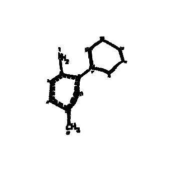 Cc1ccc(N)c(N2CCCCC2)c1